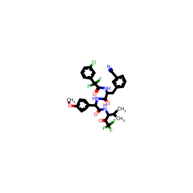 COc1ccc(C(NC(=O)C(Cc2cccc(C#N)c2)NC(=O)C(F)(F)c2cccc(Cl)c2)C(=O)NC(C(=O)C(F)(F)F)C(C)C)cc1